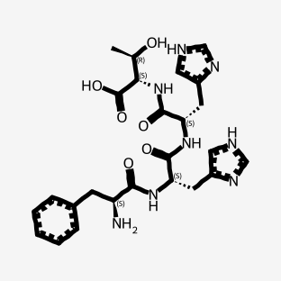 C[C@@H](O)[C@H](NC(=O)[C@H](Cc1c[nH]cn1)NC(=O)[C@H](Cc1c[nH]cn1)NC(=O)[C@@H](N)Cc1ccccc1)C(=O)O